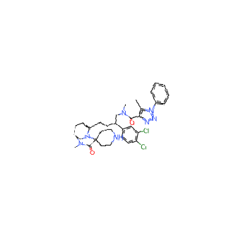 Cc1c(C(=O)N(C)CC(CCC2CCCCN2C2(C(=O)N(C)C)CCNCC2)c2ccc(Cl)c(Cl)c2)nnn1-c1ccccc1